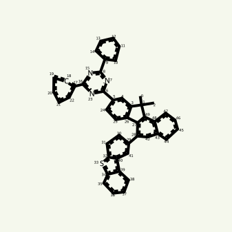 CC1(C)c2cc(-c3nc(-c4ccccc4)nc(-c4ccccc4)n3)ccc2-c2c(-c3ccc4sc5ccccc5c4c3)cc3ccccc3c21